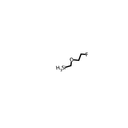 FCCOC[SiH3]